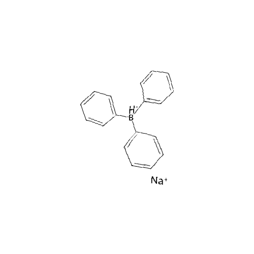 [Na+].c1ccc([BH-](c2ccccc2)c2ccccc2)cc1